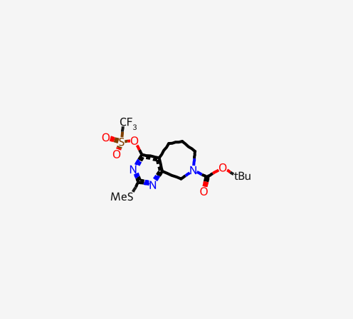 CSc1nc2c(c(OS(=O)(=O)C(F)(F)F)n1)CCCN(C(=O)OC(C)(C)C)C2